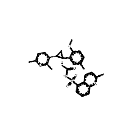 COc1ccc(C)cc1[C@]1(CC(=O)NS(=O)(=O)c2cccc3nc(C)ccc23)C[C@@H]1c1ccc(C)nc1C